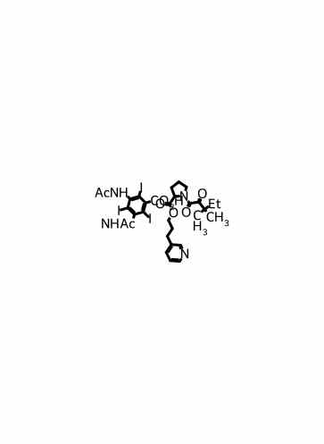 CC(=O)Nc1c(I)c(NC(C)=O)c(I)c(C(=O)O)c1I.CCC(C)(C)C(=O)C(=O)N1CCCC1C(=O)OCCCc1cccnc1